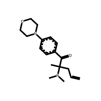 C=CCC(C)(C(=O)c1ccc(N2CCOCC2)cc1)N(C)C